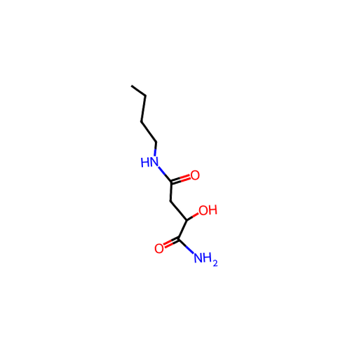 CCCCNC(=O)CC(O)C(N)=O